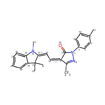 Cc1ccc(N2N=C(C(F)(F)F)/C(=C/C=C3/N(C)c4ccccc4C3(C)C)C2=O)cc1